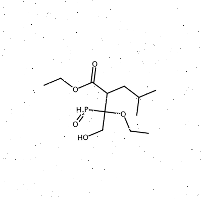 CCOC(=O)C(CC(C)C)C(CO)(OCC)[PH2]=O